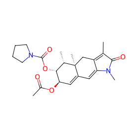 CC(=O)O[C@@H]1C=C2C=C3C(=C(C)C(=O)N3C)C[C@]2(C)[C@@H](C)[C@H]1OC(=O)N1CCCC1